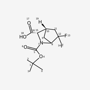 CC(C)(C)OC(=O)N1C2C[C@@H](CC2(F)F)[C@H]1C(=O)O